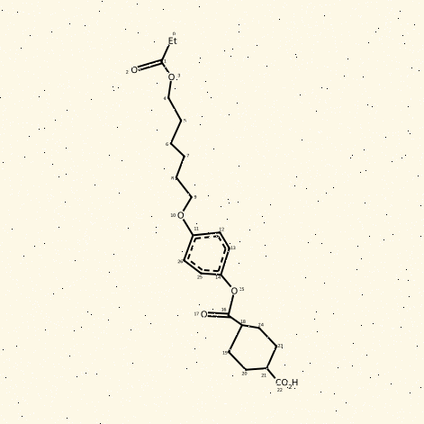 CCC(=O)OCCCCCCOc1ccc(OC(=O)C2CCC(C(=O)O)CC2)cc1